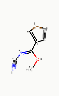 COC(=NC#N)c1ccsc1